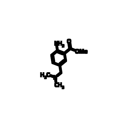 COC(=O)c1cc(CN(C)C)ccc1N